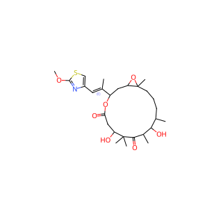 COc1nc(/C=C(\C)C2CC3OC3(C)CCCC(C)C(O)C(C)C(=O)C(C)(C)C(O)CC(=O)O2)cs1